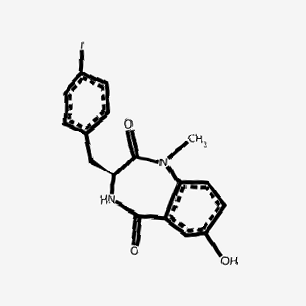 CN1C(=O)[C@H](Cc2ccc(I)cc2)NC(=O)c2cc(O)ccc21